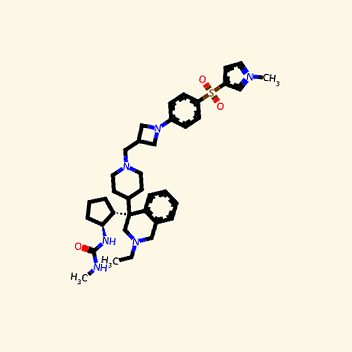 CCN1Cc2ccccc2C(C2CCN(CC3CN(c4ccc(S(=O)(=O)c5ccn(C)c5)cc4)C3)CC2)([C@H]2CCC[C@@H]2NC(=O)NC)C1